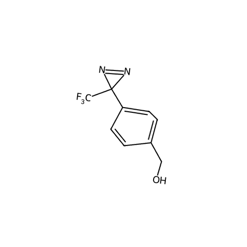 OCc1ccc(C2(C(F)(F)F)N=N2)cc1